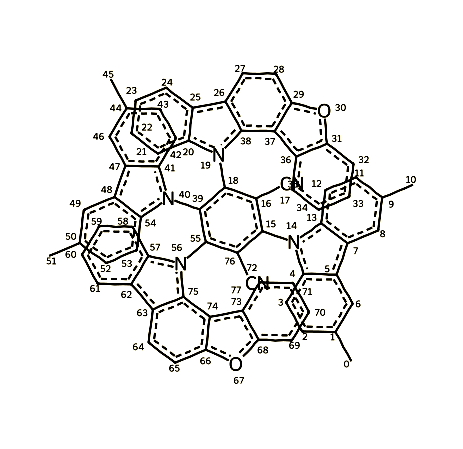 Cc1ccc2c(c1)c1cc(C)ccc1n2-c1c(C#N)c(-n2c3ccccc3c3ccc4oc5ccccc5c4c32)c(-n2c3ccc(C)cc3c3cc(C)ccc32)c(-n2c3ccccc3c3ccc4oc5ccccc5c4c32)c1C#N